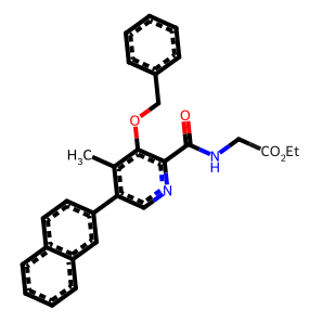 CCOC(=O)CNC(=O)c1ncc(-c2ccc3ccccc3c2)c(C)c1OCc1ccccc1